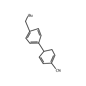 CCC(C)Cc1ccc(C2C=CC(C#N)=CC2)cc1